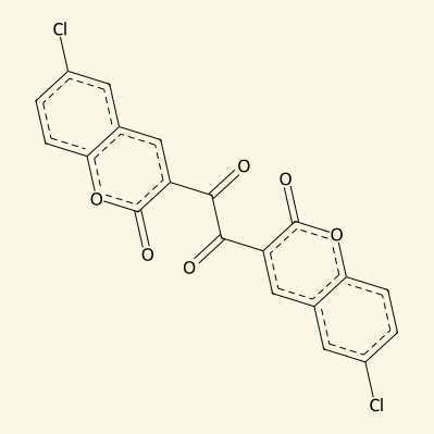 O=C(C(=O)c1cc2cc(Cl)ccc2oc1=O)c1cc2cc(Cl)ccc2oc1=O